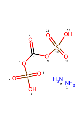 N.N.O=C(OS(=O)(=O)O)OS(=O)(=O)O